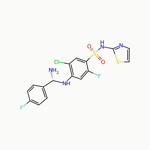 N[C@H](Nc1cc(F)c(S(=O)(=O)Nc2nccs2)cc1Cl)c1ccc(F)cc1